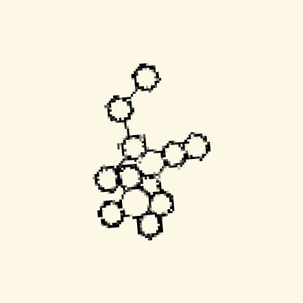 c1ccc(-c2cccc(-c3nc(-c4ccccc4)nc(-c4cc5ccccc5cc4-n4c5cccc6c5c5c7c(cccc7ccc54)-c4ccccc4-6)n3)c2)cc1